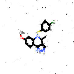 CCCCOc1ccc2c(c1)N(Sc1ccc(Cl)cc1)C(C)c1cn[nH]c1-2